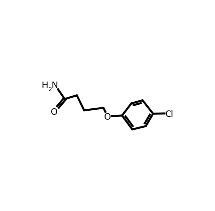 NC(=O)CCCOc1ccc(Cl)cc1